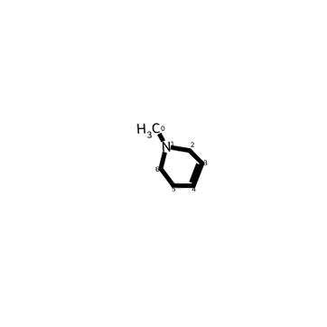 CN1CC=CCC1